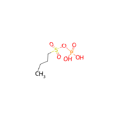 CCCCS(=O)(=O)OP(=O)(O)O